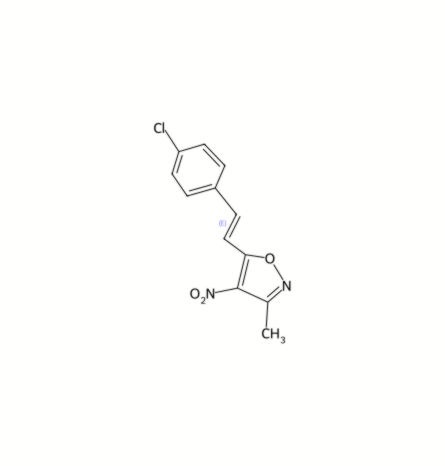 Cc1noc(/C=C/c2ccc(Cl)cc2)c1[N+](=O)[O-]